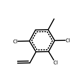 C=Cc1c(Cl)cc(C)c(Cl)c1Cl